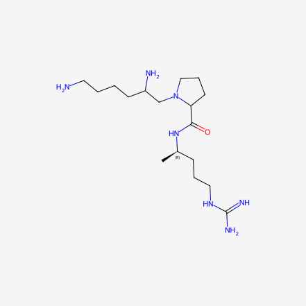 C[C@H](CCCNC(=N)N)NC(=O)C1CCCN1CC(N)CCCCN